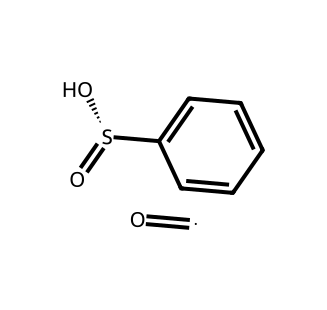 O=[S@](O)c1ccccc1.[CH]=O